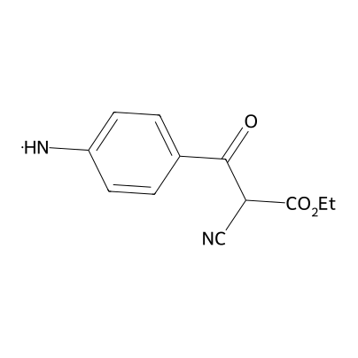 CCOC(=O)C(C#N)C(=O)c1ccc([NH])cc1